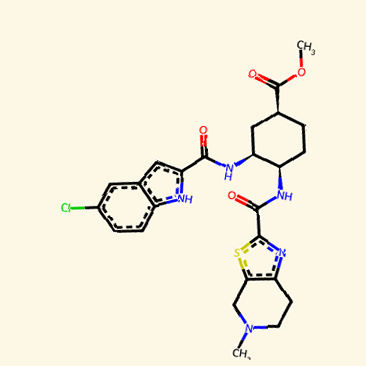 COC(=O)[C@H]1CC[C@@H](NC(=O)c2nc3c(s2)CN(C)CC3)[C@@H](NC(=O)c2cc3cc(Cl)ccc3[nH]2)C1